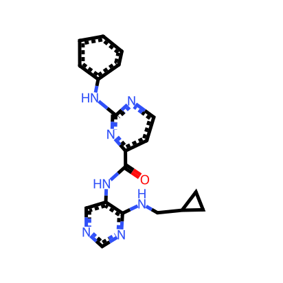 O=C(Nc1cncnc1NCC1CC1)c1ccnc(Nc2ccccc2)n1